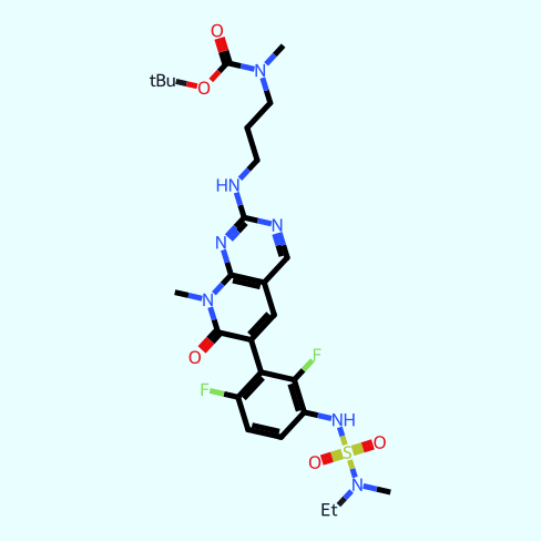 CCN(C)S(=O)(=O)Nc1ccc(F)c(-c2cc3cnc(NCCCN(C)C(=O)OC(C)(C)C)nc3n(C)c2=O)c1F